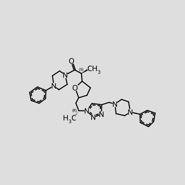 C[C@H](C(=O)N1CCN(c2ccccc2)CC1)C1CCC(C[C@@H](C)n2cc(CN3CCN(c4ccccc4)CC3)nn2)O1